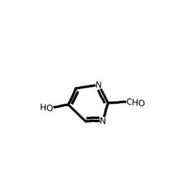 O=Cc1ncc(O)cn1